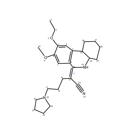 CCOc1cc2c(cc1OC)/C(=C(/C#N)CCCN1CCCC1)NC1CCCCC21